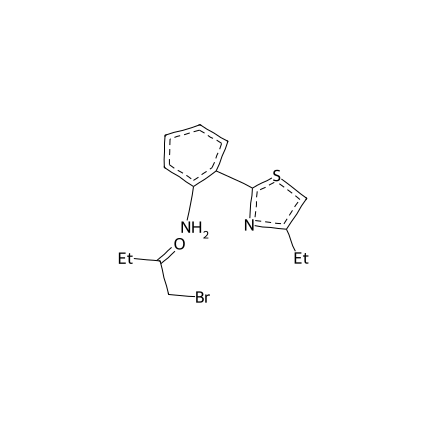 CCC(=O)CBr.CCc1csc(-c2ccccc2N)n1